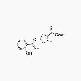 COC(=O)[C@@H]1C[C@@H](OC(=N)c2ccccc2O)CN1